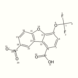 CC(F)(F)Oc1ccc(C(=O)O)c2c1oc1ccc([N+](=O)[O-])cc12